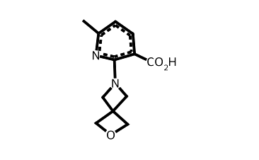 Cc1ccc(C(=O)O)c(N2CC3(COC3)C2)n1